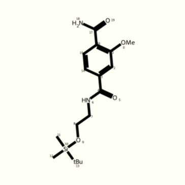 COc1cc(C(=O)NCCO[Si](C)(C)C(C)(C)C)ccc1C(N)=O